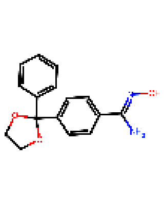 N/C(=N\O)c1ccc(C2(c3ccccc3)OCCO2)cc1